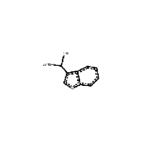 CC(=O)NC(C)c1csc2ccccc12